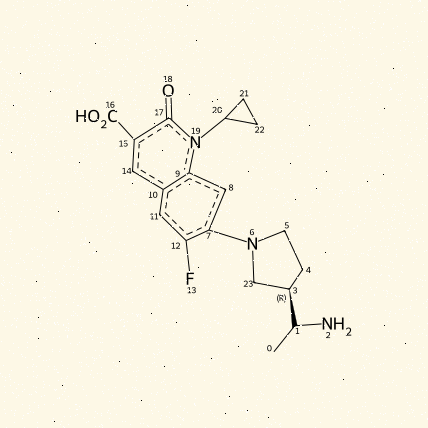 CC(N)[C@@H]1CCN(c2cc3c(cc2F)cc(C(=O)O)c(=O)n3C2CC2)C1